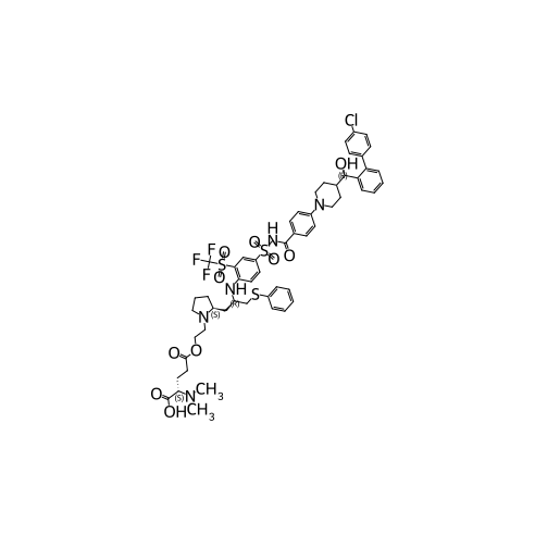 CN(C)[C@@H](CCC(=O)OCCN1CCC[C@H]1C[C@H](CSc1ccccc1)Nc1ccc(S(=O)(=O)NC(=O)c2ccc(N3CCC([C@@H](O)c4ccccc4-c4ccc(Cl)cc4)CC3)cc2)cc1S(=O)(=O)C(F)(F)F)C(=O)O